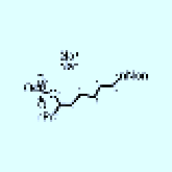 CCCCCCCCCCCCCCC(CCC)OP(=O)([O-])[O-].[Na+].[Na+]